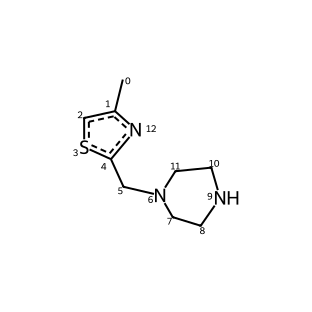 Cc1csc(CN2CCNCC2)n1